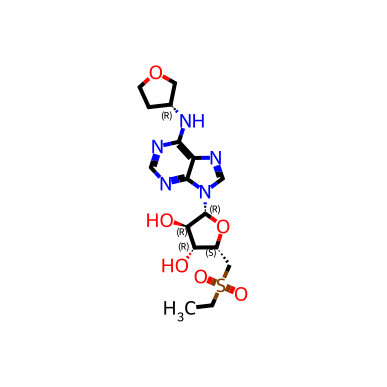 CCS(=O)(=O)C[C@H]1O[C@@H](n2cnc3c(N[C@@H]4CCOC4)ncnc32)[C@H](O)[C@H]1O